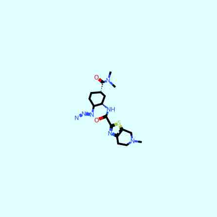 CN1CCc2nc(C(=O)N[C@@H]3C[C@@H](C(=O)N(C)C)CCC3N=[N+]=[N-])sc2C1